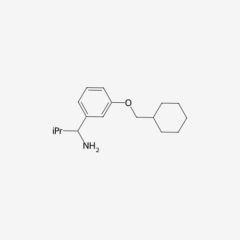 CC(C)C(N)c1cccc(OCC2CCCCC2)c1